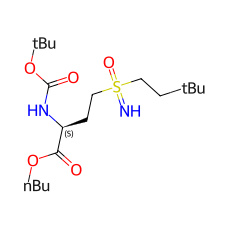 CCCCOC(=O)[C@H](CCS(=N)(=O)CCC(C)(C)C)NC(=O)OC(C)(C)C